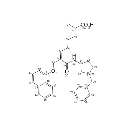 CC(CCCC=C(COc1cccc2ccccc12)C(=O)NC1CCN(Cc2ccccc2)C1)C(=O)O